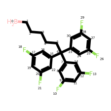 BCCCCCC(c1cc(F)cc(F)c1)(c1cc(F)cc(F)c1)c1cc(F)cc(F)c1